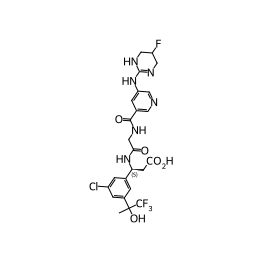 CC(O)(c1cc(Cl)cc([C@H](CC(=O)O)NC(=O)CNC(=O)c2cncc(NC3=NCC(F)CN3)c2)c1)C(F)(F)F